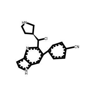 N#Cc1ccc(-c2cc3[nH]ccc3nc2C(Cl)[C@H]2CCNC2)cc1